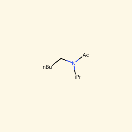 CCCCCN(C(C)=O)C(C)C